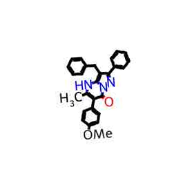 COc1ccc(-c2c(C)[nH]c3c(Cc4ccccc4)c(-c4ccccc4)nn3c2=O)cc1